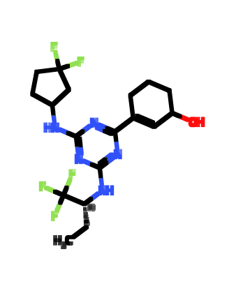 CC[C@@H](Nc1nc(NC2CCC(F)(F)C2)nc(C2=CC(O)CCC2)n1)C(F)(F)F